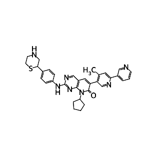 Cc1cc(-c2cccnc2)ncc1-c1cc2cnc(Nc3ccc(C4CNCCS4)cc3)nc2n(C2CCCC2)c1=O